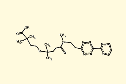 CN(CCc1nnc(-c2ncccn2)nn1)C(=O)CCC(C)(C)OCCC(C)(C)C(=O)O